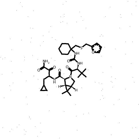 CC(C)(C)[C@H](NC(=O)NC1(CSCc2ccco2)CCCCC1)C(=O)N1C[C@H]2[C@@H]([C@H]1C(=O)NC(CC1CC1)C(=O)C(N)=O)C2(C)C